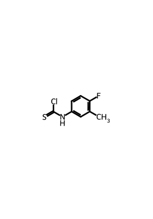 Cc1cc(NC(=S)Cl)ccc1F